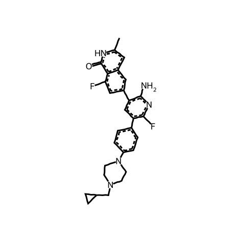 Cc1cc2cc(-c3cc(-c4ccc(N5CCN(CC6CC6)CC5)cc4)c(F)nc3N)cc(F)c2c(=O)[nH]1